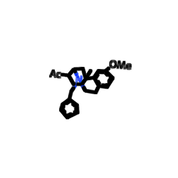 COc1ccc2c(c1)C1(C)CC3C(C(C)=O)CC1C(C2)N3Cc1ccccc1